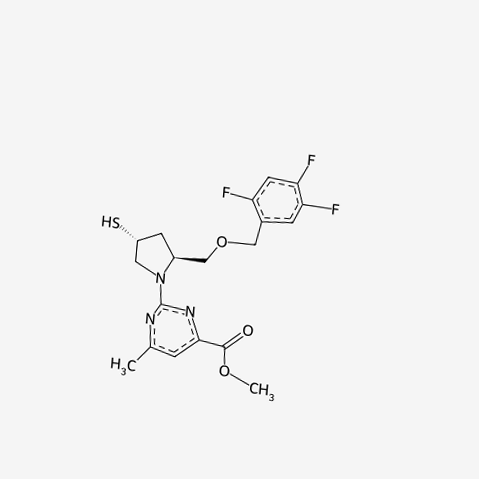 COC(=O)c1cc(C)nc(N2C[C@H](S)C[C@H]2COCc2cc(F)c(F)cc2F)n1